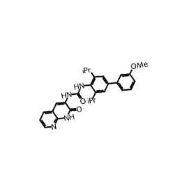 COc1cccc(-c2cc(C(C)C)c(NC(=O)Nc3cc4cccnc4[nH]c3=O)c(C(C)C)c2)c1